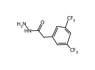 NNC(=O)Cc1cc(C(F)(F)F)cc(C(F)(F)F)c1